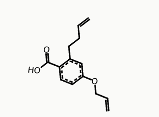 C=CCCc1cc(OCC=C)ccc1C(=O)O